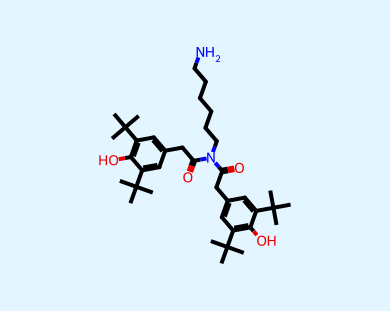 CC(C)(C)c1cc(CC(=O)N(CCCCCCN)C(=O)Cc2cc(C(C)(C)C)c(O)c(C(C)(C)C)c2)cc(C(C)(C)C)c1O